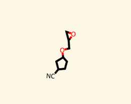 N#CC1CCC(OCC2CO2)C1